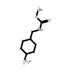 CCCCOC(=O)NCC1CCC(C(=O)O)CC1